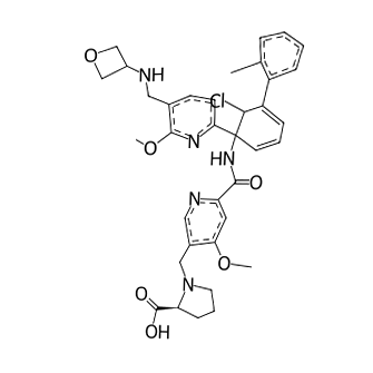 COc1cc(C(=O)NC2(c3ccc(CNC4COC4)c(OC)n3)C=CC=C(c3ccccc3C)C2Cl)ncc1CN1CCC[C@H]1C(=O)O